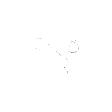 C=C/C=C(\C=C(/C)CNC1CCCCC1)c1ccncc1